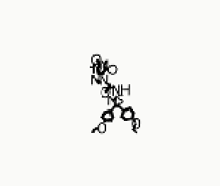 CCOc1ccc(-c2nc(NC(=O)Cn3cnc4c3c(=O)n(C)c(=O)n4C)sc2-c2ccc(OCC)cc2)cc1